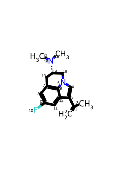 C=C(C)c1cn2c3c(cc(F)cc13)C[C@H](N(C)C)C2